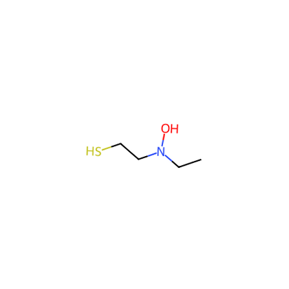 CCN(O)CCS